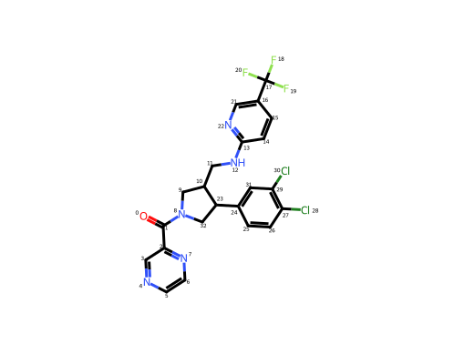 O=C(c1cnccn1)N1CC(CNc2ccc(C(F)(F)F)cn2)C(c2ccc(Cl)c(Cl)c2)C1